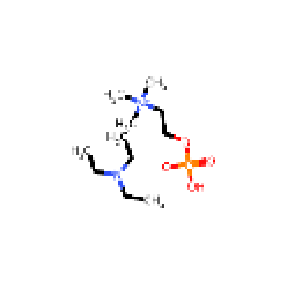 CCN(CC)CC.C[N+](C)(C)CCOP(=O)([O-])O